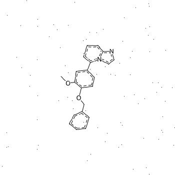 COc1cc(-c2cccc3nccn23)ccc1OCc1ccccc1